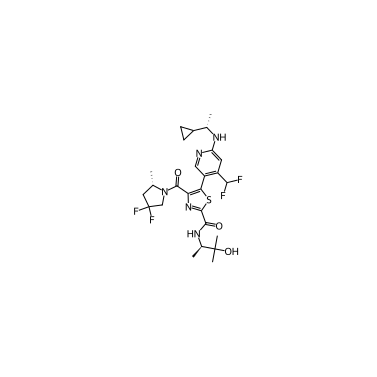 C[C@H](Nc1cc(C(F)F)c(-c2sc(C(=O)N[C@H](C)C(C)(C)O)nc2C(=O)N2CC(F)(F)C[C@@H]2C)cn1)C1CC1